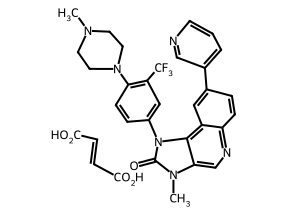 CN1CCN(c2ccc(-n3c(=O)n(C)c4cnc5ccc(-c6cccnc6)cc5c43)cc2C(F)(F)F)CC1.O=C(O)C=CC(=O)O